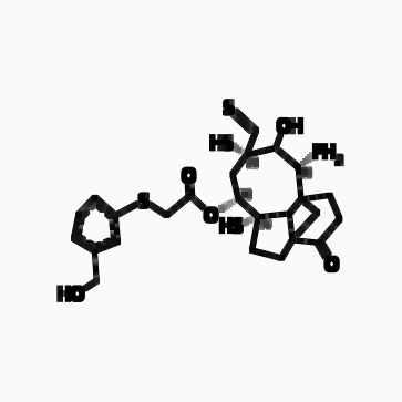 O=C(CSc1cccc(CO)c1)O[C@@H]1C[C@@](S)(C=S)C(O)[C@H](P)C23CCC(=O)C4(CC[C@]1(S)C42)C3